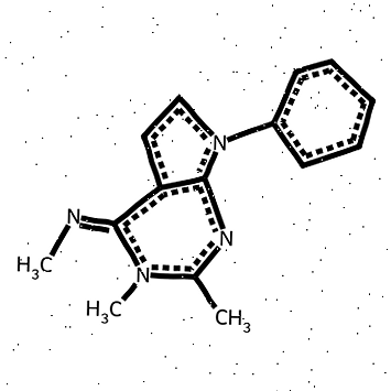 CN=c1c2ccn(-c3ccccc3)c2nc(C)n1C